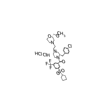 COC[C@@H]1CN(CCN2CCN(C(=O)c3cc(C(F)(F)F)cc(S(=O)(=O)C4CCCC4)c3)[C@H](Cc3ccc(Cl)cc3)C2)CCO1.Cl.Cl